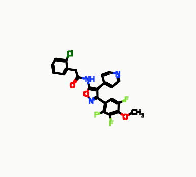 COc1c(F)cc(-c2noc(NC(=O)Cc3ccccc3Cl)c2-c2ccncc2)c(F)c1F